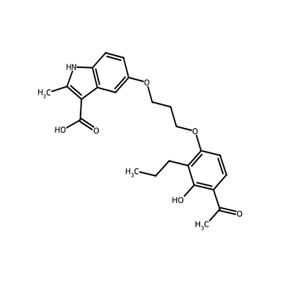 CCCc1c(OCCCOc2ccc3[nH]c(C)c(C(=O)O)c3c2)ccc(C(C)=O)c1O